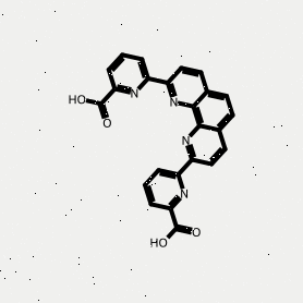 O=C(O)c1cccc(-c2ccc3ccc4ccc(-c5cccc(C(=O)O)n5)nc4c3n2)n1